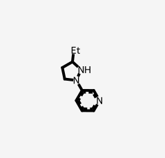 CCC1CCN(c2cccnc2)N1